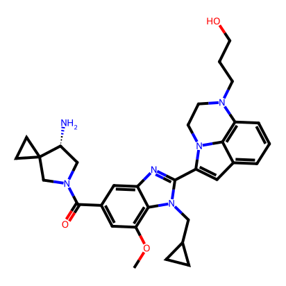 COc1cc(C(=O)N2C[C@@H](N)C3(CC3)C2)cc2nc(-c3cc4cccc5c4n3CCN5CCCO)n(CC3CC3)c12